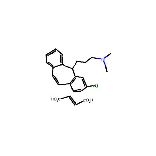 CN(C)CCCC1c2ccccc2C=Cc2ccc(Cl)cc21.O=C(O)C=CC(=O)O